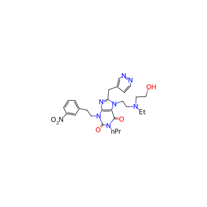 CCCn1c(=O)c2c(nc(Cc3ccnnc3)n2CCN(CC)CCO)n(CCc2cccc([N+](=O)[O-])c2)c1=O